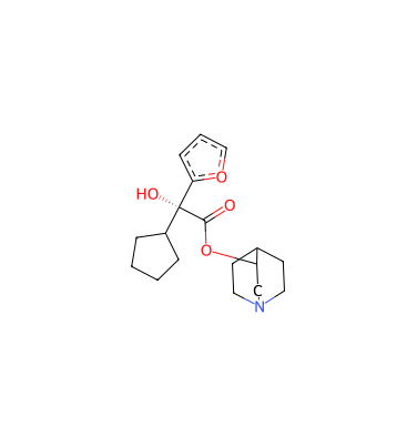 O=C(OC1CN2CCC1CC2)[C@](O)(c1ccco1)C1CCCC1